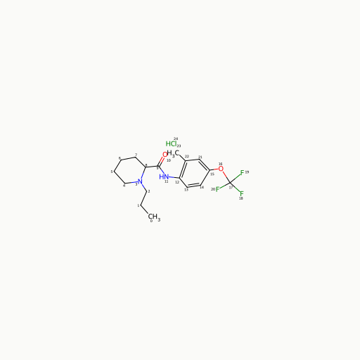 CCCN1CCCCC1C(=O)Nc1ccc(OC(F)(F)F)cc1C.Cl